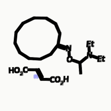 CCN(CC)C(C)ON=C1CCCCCCCCCCC1.O=C(O)/C=C/C(=O)O